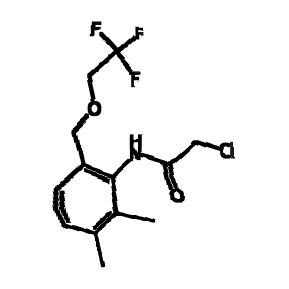 Cc1ccc(COCC(F)(F)F)c(NC(=O)CCl)c1C